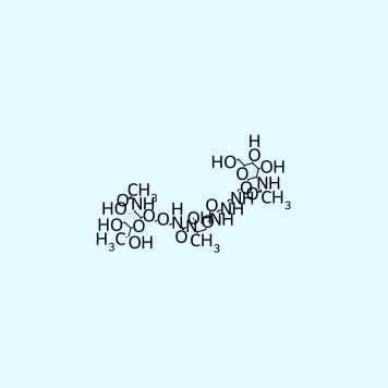 CC(=O)NC1C(OCNCNC(=O)NOCC(C)N(O)C(=O)NCOCOC(OC(CO)[C@@H](C)O)[C@H](CO)NC(C)=O)OC(CO)C(O)C1O